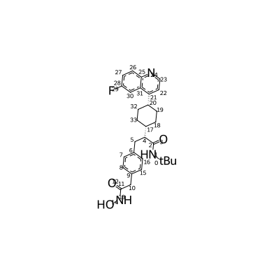 CC(C)(C)NC(=O)C(Cc1ccc(CC(=O)NO)cc1)[C@H]1CC[C@@H](c2ccnc3ccc(F)cc32)CC1